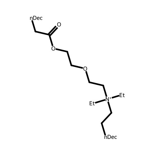 CCCCCCCCCCCC[N+](CC)(CC)CCOCCOC(=O)CCCCCCCCCCC